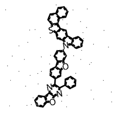 c1ccc(-c2nc3oc4ccccc4c3nc2-c2ccc3c(c2)oc2cc(-n4c5ccccc5c5cc6c(cc54)sc4ccc5ccccc5c46)ccc23)cc1